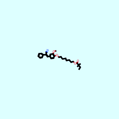 CCC(C)(C)C(=O)OCCCCCCCCOc1ccc(/C=C(\C#N)c2ccccc2)cc1OC